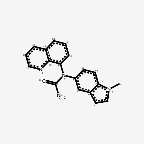 Cn1ccc2cc(N(C(N)=O)c3cccc4cccnc34)ccc21